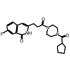 O=C(CCc1cc2ccc(F)cc2c(=O)[nH]1)N1CCN(C(=O)C2CCCC2)CC1